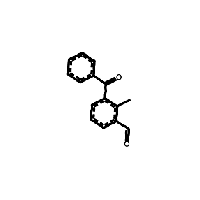 Cc1c([C]=O)cccc1C(=O)c1ccccc1